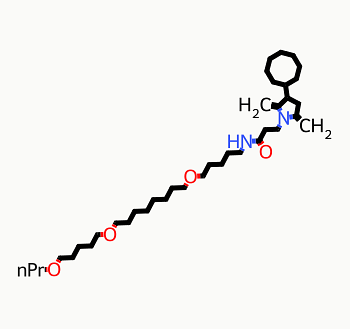 C=C1CC(C2CCCCCCC2)C(=C)N1CCC(=O)NCCCCCOCCCCCCCCOCCCCCOCCC